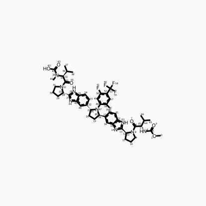 COC(=O)N[C@H](C(=O)N1CCC[C@H]1c1nc2cc([C@H]3CC[C@H](c4ccc5[nH]c([C@@H]6CCCN6C(=O)[C@H](C(C)C)N(C)C(=O)O)nc5c4)N3c3cc(F)c(C(F)(F)F)cc3F)ccc2[nH]1)C(C)C